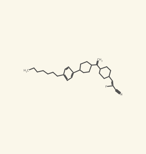 C=C(C1CCC(C=C(F)C#N)CC1)C1CCC(c2ccc(CCCCCCC)cc2)CC1